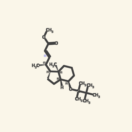 COC(=O)/C=C/[C@@H](C)[C@H]1CC[C@H]2[C@H](O[Si](C)(C)C(C)(C)C)CCC[C@]12C